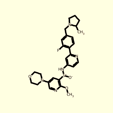 COc1ncc(N2CCOCC2)cc1[S+]([O-])Nc1ccnc(-c2ccc(CN3CCCC3C)cc2F)c1